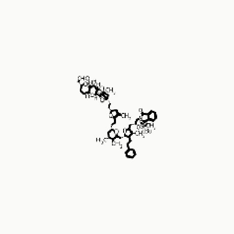 C=C1C[C@H](CC[C@@]23C[C@]4(C)O[C@H]5[C@@H](O2)[C@H]2O[C@@H](CC=O)CC[C@@H]2O[C@H]5[C@H]4O3)OC1CC[C@H]1C[C@@H](C)C(=C)C(C[C@@H]2OC(C[C@@H](CN3C(=O)c4ccccc4C3=O)O[Si](C)(C)C(C)(C)C)[C@H](C)C2CCc2ccccc2)O1